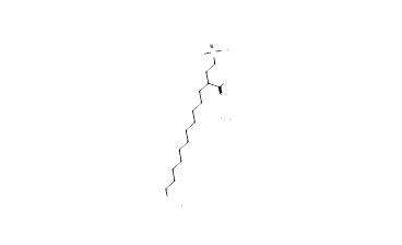 CCCCCCCCCCCCC(CCP(=O)(O)O)C(=O)[O-].[Na+]